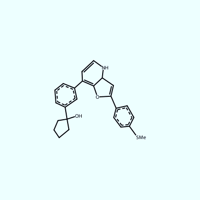 CSc1ccc(C2=CC3NC=CC(c4cccc(C5(O)CCCC5)c4)=C3O2)cc1